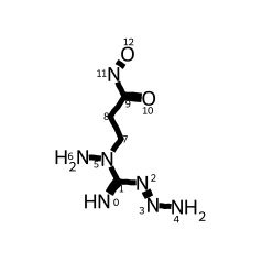 N=C(N=NN)N(N)CCC(=O)N=O